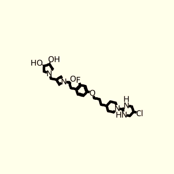 O=C(Cc1ccc(OCCCC2CCN(C3NCC(Cl)CN3)CC2)cc1F)N1CC(CN2C[C@H](O)[C@@H](O)C2)C1